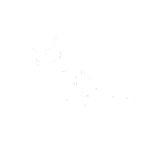 CS(=O)(=O)Nc1cc(Cl)cc(CNc2nc(NC3(C(F)(F)F)CC3)c3nc(-c4ccc(F)cc4)ccc3n2)c1